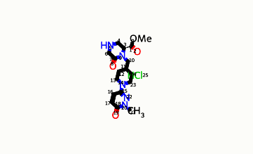 COC(=O)[C@H]1CNCC(=O)N1CC1CCN(c2ccc(=O)n(C)n2)CC1.Cl